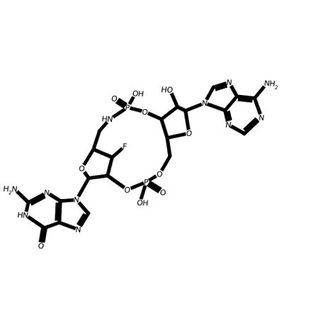 Nc1nc2c(ncn2C2OC3CNP(=O)(O)OC4C(COP(=O)(O)OC2C3F)OC(n2cnc3c(N)ncnc32)C4O)c(=O)[nH]1